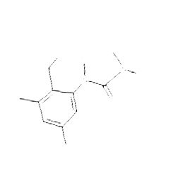 CN(N)C(=O)N(N)c1cc(F)cc(Br)c1CO